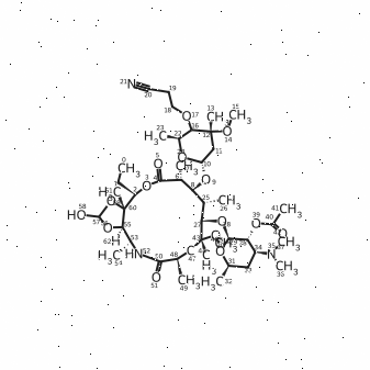 CC[C@H]1OC(=O)[C@H](C)[C@@H](O[C@H]2C[C@@](C)(OC)C(OCCC#N)[C@H](C)O2)[C@H](C)[C@@H](O[C@@H]2O[C@H](C)C[C@H](N(C)C)[C@H]2OC(C)=O)[C@](C)(OC)C[C@@H](C)C(=O)N[C@H](C)[C@H]2OC(O)O[C@@]21C